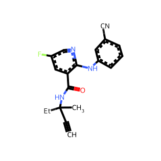 C#CC(C)(CC)NC(=O)c1cc(F)cnc1Nc1cccc(C#N)c1